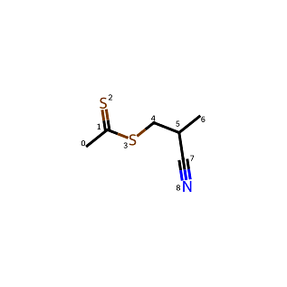 CC(=S)SCC(C)C#N